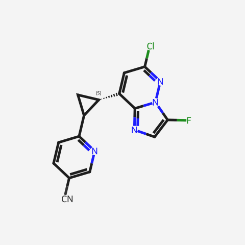 N#Cc1ccc(C2C[C@@H]2c2cc(Cl)nn3c(F)cnc23)nc1